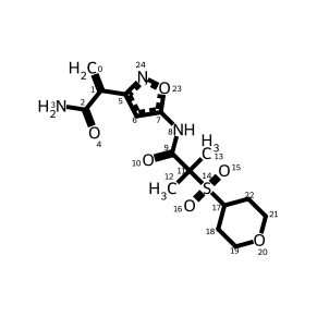 C=C(C(N)=O)c1cc(NC(=O)C(C)(C)S(=O)(=O)C2CCOCC2)on1